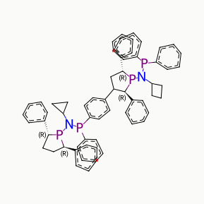 c1ccc([C@H]2CC[C@H](c3ccccc3)P2N(C2CC2)P(c2ccccc2)c2ccc(C3C[C@H](c4ccccc4)P(N(C4CCC4)P(c4ccccc4)c4ccccc4)[C@H]3c3ccccc3)cc2)cc1